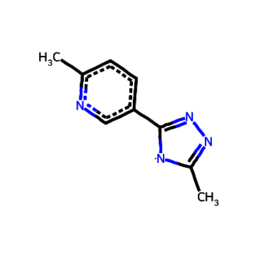 CC1=NN=C(c2ccc(C)nc2)[N]1